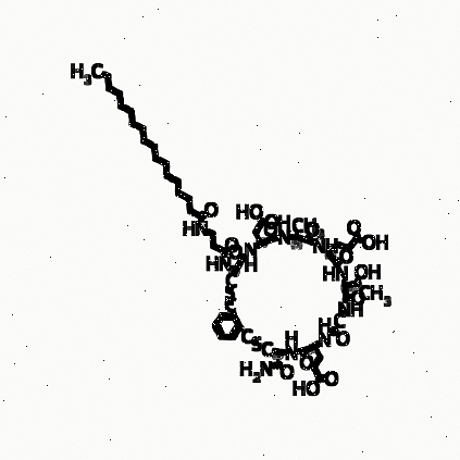 CCCCCCCCCCCCCCCCCC(=O)NCCC(=O)N[C@H]1CSCc2ccccc2CSC[C@@H](C(N)=O)NC(=O)[C@H](CCC(=O)O)NC(=O)CNC(=O)[C@H]([C@H](C)O)NC(=O)[C@H](CCC(=O)O)NC(=O)[C@H](C)NC(=O)[C@H](CC(=O)O)NC1=O